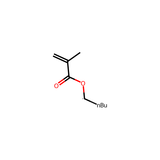 [CH2]CCC[CH]OC(=O)C(=C)C